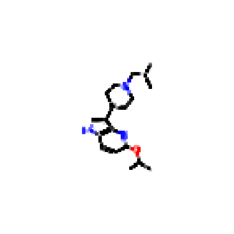 CC(C)CN1CC=C(c2c[nH]c3ccc(OC(C)C)nc23)CC1